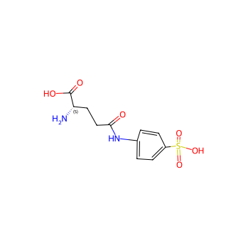 N[C@@H](CCC(=O)Nc1ccc(S(=O)(=O)O)cc1)C(=O)O